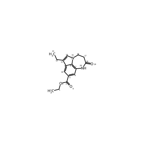 CCOC(=O)c1cc2c3c(c1)c(CC)cn3CCC(=O)N2